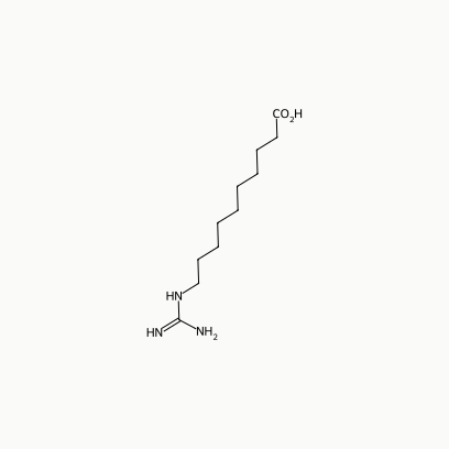 N=C(N)NCCCCCCCCCC(=O)O